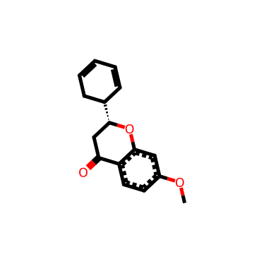 COc1ccc2c(c1)O[C@@H](C1C=CC=CC1)CC2=O